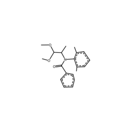 COC(OC)C(C)N(C(=O)c1ccccc1)c1c(C)cccc1C